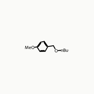 CCC[CH]OCc1ccc(OC)cc1